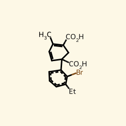 CCc1cccc(C2(C(=O)O)C=CC(C)=C(C(=O)O)C2)c1Br